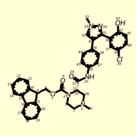 CN1CCN(C(=O)OCC2c3ccccc3-c3ccccc32)[C@H](C(=O)Nc2ccc(-c3cn(C)nc3-c3cc(Cl)ccc3O)cc2)C1